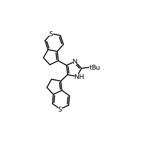 CC(C)(C)c1nc(C2=C3C=CSC=C3CC2)c(C2=C3C=CSC=C3CC2)[nH]1